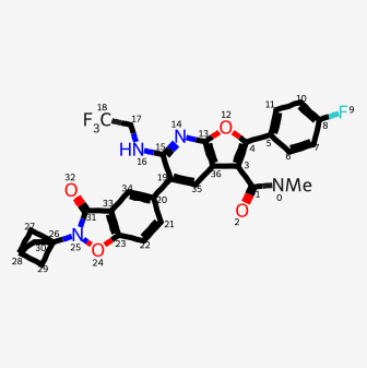 CNC(=O)c1c(-c2ccc(F)cc2)oc2nc(NCC(F)(F)F)c(-c3ccc4on(C56CC(C5)C6)c(=O)c4c3)cc12